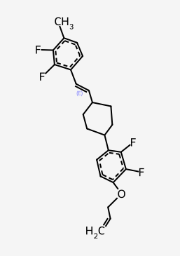 C=CCOc1ccc(C2CCC(/C=C/c3ccc(C)c(F)c3F)CC2)c(F)c1F